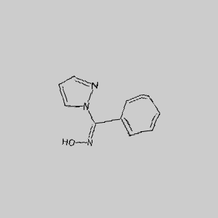 ON=C(c1ccccc1)n1cccn1